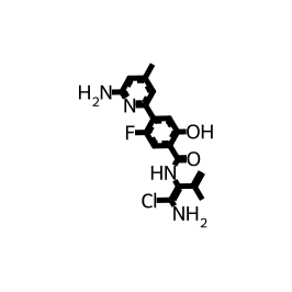 C=C(C)/C(NC(=O)c1cc(F)c(-c2cc(C)cc(N)n2)cc1O)=C(\N)Cl